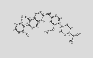 COc1cc(Nc2ncc3c(=O)n(-c4c(Cl)cccc4Cl)ccc3n2)ccc1N1CCN(C(=O)O)CC1